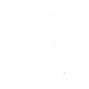 CC(O)C1(NC(=O)OC(C)(C)C)CCCOCC1